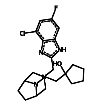 OC1(CCN2C3CCC2CN(Cc2nc4c(Cl)cc(F)cc4[nH]2)C3)CCCC1